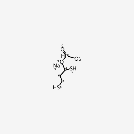 O=[PH]([O-])OC(S)CCS.[Na+]